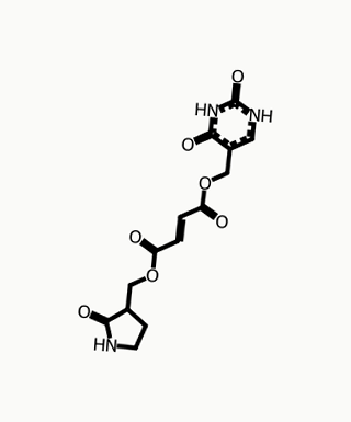 O=C(/C=C/C(=O)OCC1CCNC1=O)OCc1c[nH]c(=O)[nH]c1=O